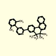 Cc1cccc(C)c1-c1ccnc(-c2ccc3c(c2)C(C)(C)C(C)(C)c2ccc4ccccc4c2-3)c1